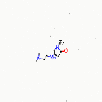 CC(C)N1CC(NCCN(C)C)=CC1=O